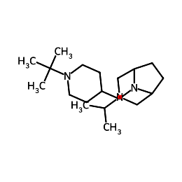 CC(C)N1CC2CCC(C1)N2CC1CCN(C(C)(C)C)CC1